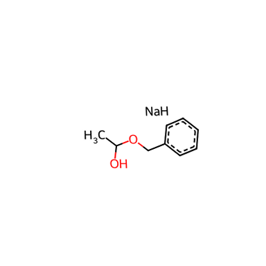 CC(O)OCc1ccccc1.[NaH]